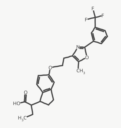 CCC(C(=O)O)C1CCc2cc(OCCc3nc(-c4cccc(C(F)(F)F)c4)oc3C)ccc21